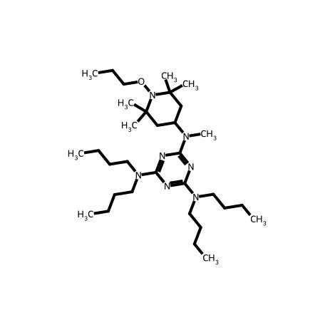 CCCCN(CCCC)c1nc(N(CCCC)CCCC)nc(N(C)C2CC(C)(C)N(OCCC)C(C)(C)C2)n1